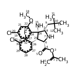 C=C(C)OC(=O)[C@H]1N[C@@H](CC(C)(C)C)[C@](N)(c2ccc(Cl)cc2OC)[C@H]1c1cccc(Cl)c1F